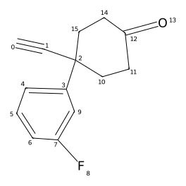 C#CC1(c2cccc(F)c2)CCC(=O)CC1